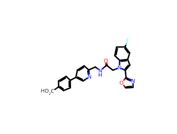 O=C(Cn1c(-c2ncco2)cc2cc(F)ccc21)NCc1ccc(-c2ccc(C(=O)O)cc2)cn1